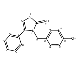 N=c1scc(-c2ccccc2)n1Cc1ccc(Cl)nc1